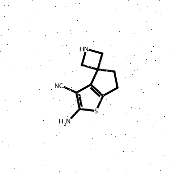 N#Cc1c(N)sc2c1C1(CC2)CNC1